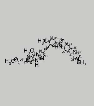 COCCCn1cc(Nc2ncc(C#Cc3cc(C(=O)Nc4ccc(CN5CCN(C)CC5)cc4)ccc3C)cn2)c(OC)n1